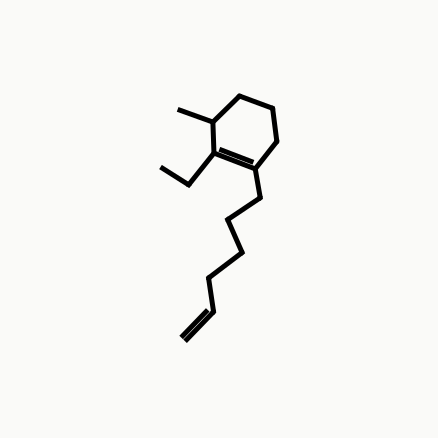 C=CCCCCC1=C(CC)C(C)CCC1